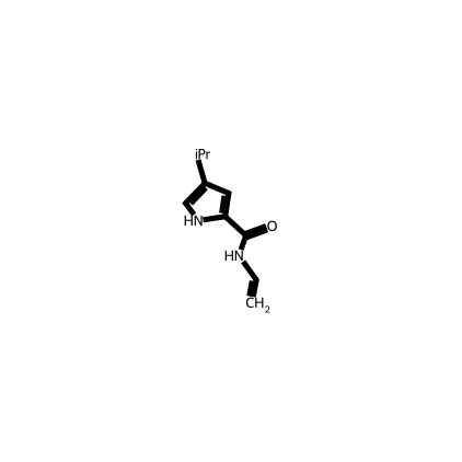 C=CNC(=O)c1cc(C(C)C)c[nH]1